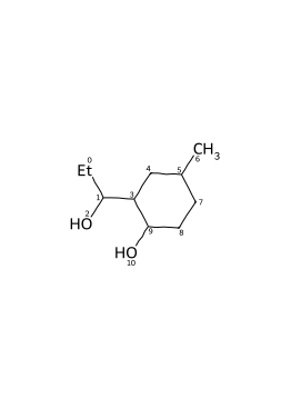 CCC(O)C1CC(C)CCC1O